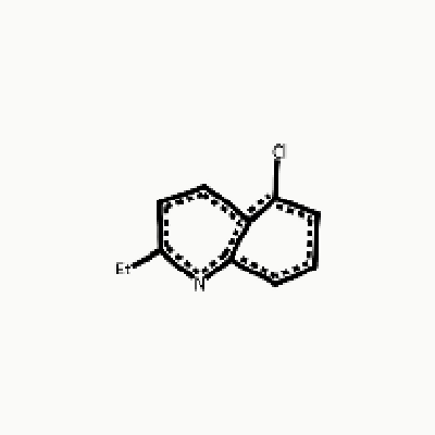 CCc1ccc2c(Cl)cccc2n1